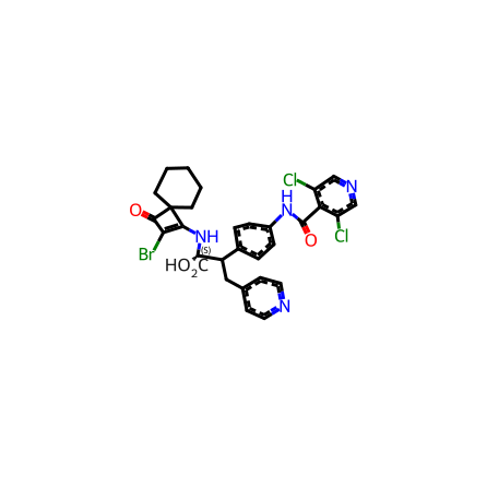 O=C(Nc1ccc(C(Cc2ccncc2)[C@H](NC2=C(Br)C(=O)C23CCCCC3)C(=O)O)cc1)c1c(Cl)cncc1Cl